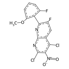 COc1cccc(F)c1-c1nc2nc(Cl)c([N+](=O)[O-])c(Cl)c2cc1F